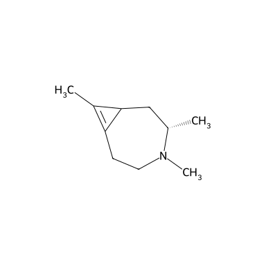 CC1=C2CCN(C)[C@@H](C)CC12